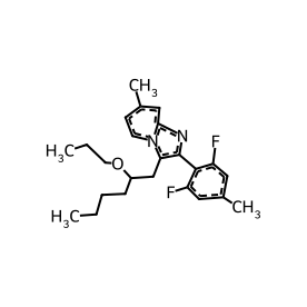 CCCCC(Cc1c(-c2c(F)cc(C)cc2F)nc2cc(C)ccn12)OCCC